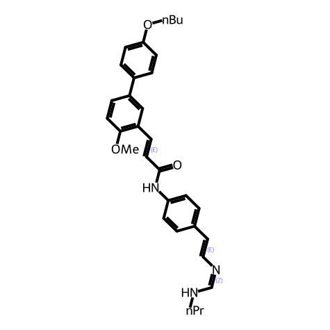 CCCCOc1ccc(-c2ccc(OC)c(/C=C/C(=O)Nc3ccc(/C=C/N=C\NCCC)cc3)c2)cc1